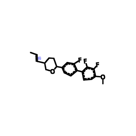 C/C=C/C1CCC(c2ccc(-c3ccc(OC)c(F)c3F)c(F)c2)OC1